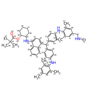 CCNCc1cc(C)c(Nc2ccc(C(c3ccc(Nc4c(C)cc(C)cc4C)cc3)c3ccc(NC4CCCCC4OC(=O)C(C)(C)CC)c4ccccc34)cc2)c(C)c1